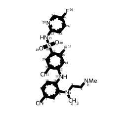 CNCCN(C)c1cc(Cl)ccc1Nc1cc(F)c(S(=O)(=O)Nc2ccc(F)cn2)cc1Cl